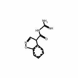 N=C(N)NC(=O)C1C=NOc2ccccc21